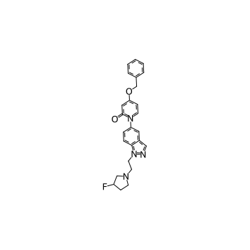 O=c1cc(OCc2ccccc2)ccn1-c1ccc2c(cnn2CCN2CCC(F)C2)c1